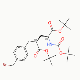 CC(C)(C)OC(=O)N[C@@H](C[C@H](Cc1ccc(CBr)cc1)C(=O)OC(C)(C)C)C(=O)OC(C)(C)C